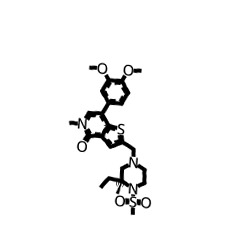 CC[C@]1(C)CN(Cc2cc3c(=O)n(C)cc(-c4ccc(OC)c(OC)c4)c3s2)CCN1S(C)(=O)=O